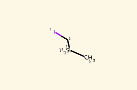 C[SiH2]CI